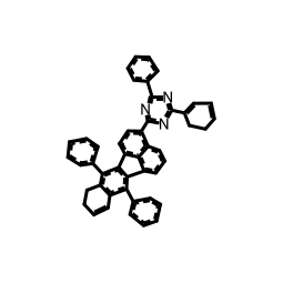 C1=CCCC(c2nc(-c3ccccc3)nc(-c3ccc4c5c(cccc35)-c3c(-c5ccccc5)c5c(c(-c6ccccc6)c3-4)CCC=C5)n2)=C1